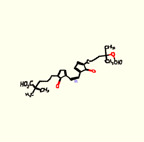 CC(C)(CCCC1=CC=C(/C=C\C2=CC=C(CCCC(C)(C)C(=O)O)C2=O)C1=O)OC=O